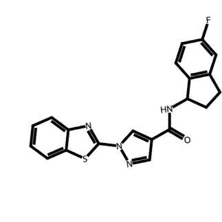 O=C(NC1CCc2cc(F)ccc21)c1cnn(-c2nc3ccccc3s2)c1